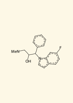 CNCC(O)C(c1ccccc1)n1ccc2ccc(F)cc21